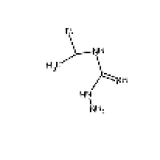 CCC(C)NC(=N)NN